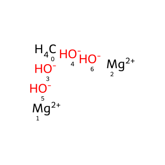 C.[Mg+2].[Mg+2].[OH-].[OH-].[OH-].[OH-]